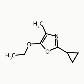 CCOc1oc(C2CC2)nc1C